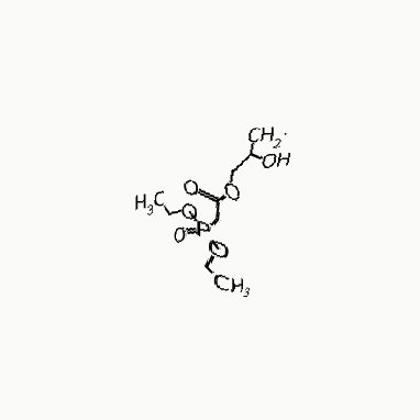 [CH2]C(O)COC(=O)CP(=O)(OCC)OCC